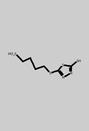 O=S(=O)(O)CCCCSc1nnc(S)s1